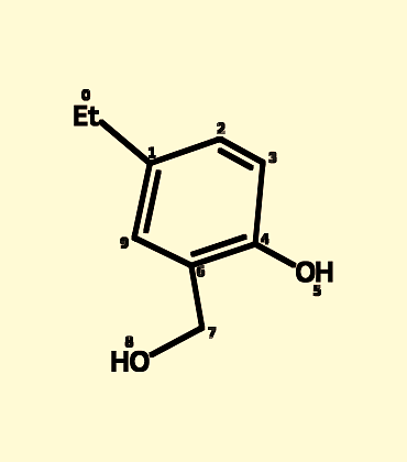 CCc1ccc(O)c(CO)c1